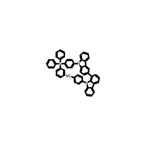 N#Cc1ccc(-n2c3ccccc3c3cccc(-c4ccc5c(c4)c4ccccc4n5-c4ccc([Si](c5ccccc5)(c5ccccc5)c5ccccc5)cc4)c32)cc1